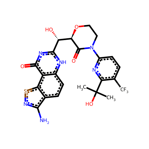 CC(C)(O)c1nc(N2CCO[C@H]([C@@H](O)c3nc(=O)c4c(ccc5c(N)nsc54)[nH]3)C2=O)ccc1C(F)(F)F